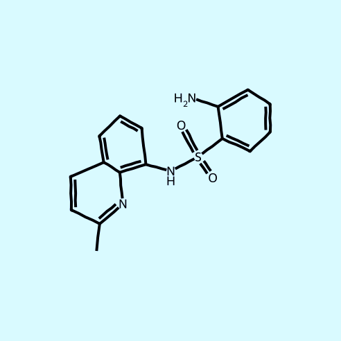 Cc1ccc2cccc(NS(=O)(=O)c3ccccc3N)c2n1